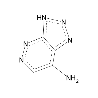 Nc1cnnc2[nH]nnc12